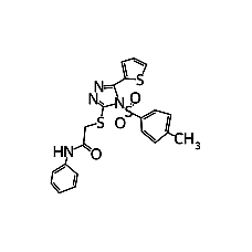 Cc1ccc(S(=O)(=O)n2c(SCC(=O)Nc3ccccc3)nnc2-c2cccs2)cc1